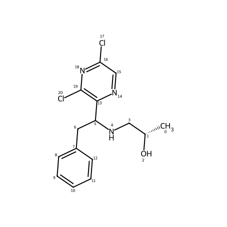 C[C@H](O)CNC(Cc1ccccc1)c1ncc(Cl)nc1Cl